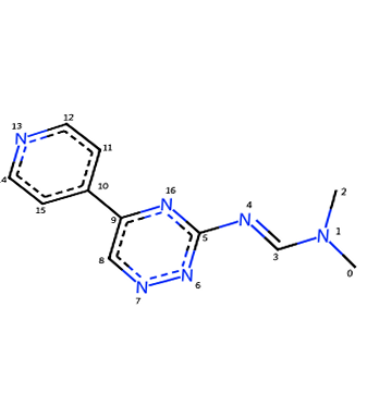 CN(C)C=Nc1nncc(-c2ccncc2)n1